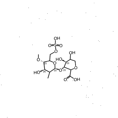 CO[C@@H]1C(COS(=O)(=O)O)O[C@@H](O[C@@H]2C(C(=O)O)OCC(O)[C@@H]2O)C(C)[C@H]1O